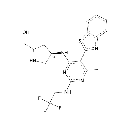 Cc1nc(NCC(F)(F)F)nc(N[C@H]2CNC(CO)C2)c1-c1nc2ccccc2s1